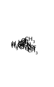 CCS(=O)(=O)Nc1cc2nn(-c3ccc(F)cc3)c(C(=O)NC)c2cc1B1OC(C)(C)C(C)(C)O1